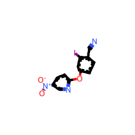 N#Cc1ccc(Oc2ccc([N+](=O)[O-])cn2)cc1I